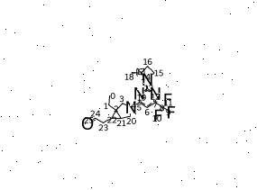 CCC12CN(c3cc(C(F)(F)F)nc(N4CC[C@@H]4C)n3)CC1C2CC=O